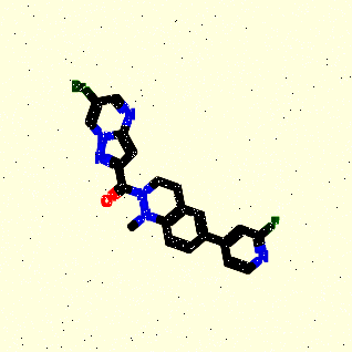 CN1c2ccc(-c3ccnc(F)c3)cc2CCN1C(=O)c1cc2ncc(Br)cn2n1